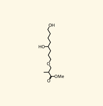 COC(=O)C(C)COCCCC(O)CCCCO